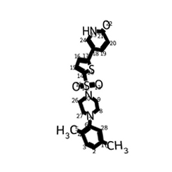 Cc1ccc(C)c(N2CCN(S(=O)(=O)c3ccc(-c4ccc(=O)[nH]c4)s3)CC2)c1